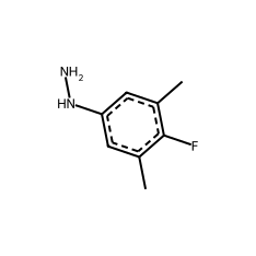 Cc1cc(NN)cc(C)c1F